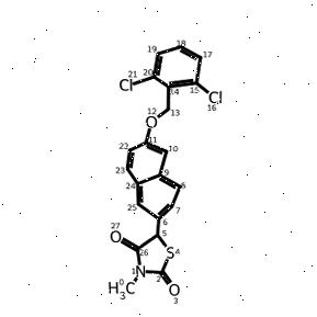 CN1C(=O)SC(c2ccc3cc(OCc4c(Cl)cccc4Cl)ccc3c2)C1=O